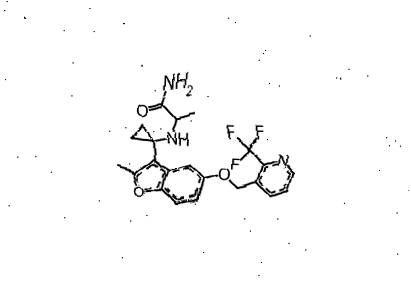 Cc1oc2ccc(OCc3cccnc3C(F)(F)F)cc2c1C1(NC(C)C(N)=O)CC1